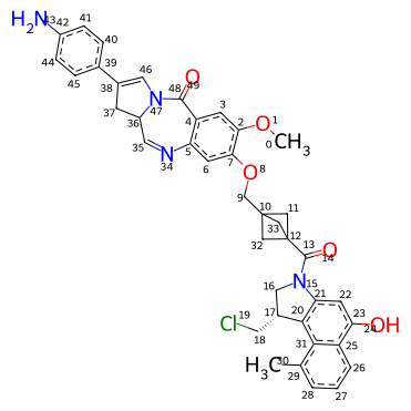 COc1cc2c(cc1OCC13CC(C(=O)N4C[C@@H](CCl)c5c4cc(O)c4cccc(C)c54)(C1)C3)N=CC1CC(c3ccc(N)cc3)=CN1C2=O